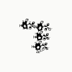 CC1(C)[C@@H]2CC[C@@]1(CS(=O)(=O)[O-])C(=O)C2.CC1(C)[C@@H]2CC[C@@]1(CS(=O)(=O)[O-])C(=O)C2.CC1(C)[C@@H]2CC[C@@]1(CS(=O)(=O)[O-])C(=O)C2.CC1(C)[C@@H]2CC[C@@]1(CS(=O)(=O)[O-])C(=O)C2.[Zr+4]